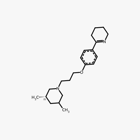 CC1C[C@H](C)CN(CCCOc2ccc(C3=NCCCC3)cc2)C1